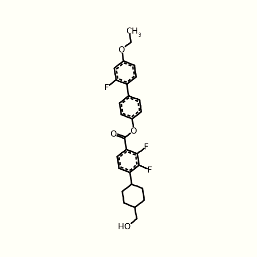 CCOc1ccc(-c2ccc(OC(=O)c3ccc(C4CCC(CO)CC4)c(F)c3F)cc2)c(F)c1